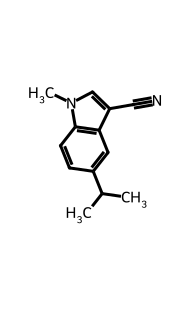 CC(C)c1ccc2c(c1)c(C#N)cn2C